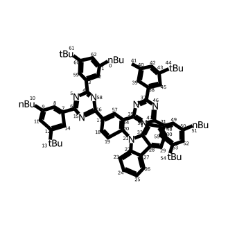 CCCCc1cc(-c2nc(-c3cc(CCCC)cc(C(C)(C)C)c3)nc(-c3ccc(-n4c5ccccc5c5ccccc54)c(-c4nc(-c5cc(C)cc(C(C)(C)C)c5)nc(-c5cc(CCCC)cc(C(C)(C)C)c5)n4)c3)n2)cc(C(C)(C)C)c1